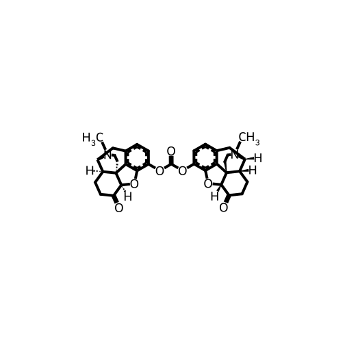 CN1CC[C@]23c4c5ccc(OC(=O)Oc6ccc7c8c6O[C@H]6C(=O)CC[C@H]9[C@@H](C7)N(C)CC[C@]869)c4O[C@H]2C(=O)CC[C@H]3C1C5